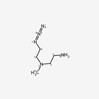 CN(CCN)CCN=[N+]=[N-]